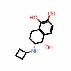 Oc1ccc2c(c1O)CC[C@@H](NC1CCC1)[C@H]2O